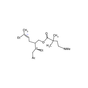 CC/C(C)=C\CC(COC(=O)C(C)(C)CCNC)[C@@H](CC)CC(C)=O